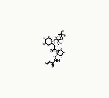 C=CC(=C)NC[C@@H]1CCCN1C(=O)[C@@H](NC(=O)OC(C)(C)C)C1CCCCC1